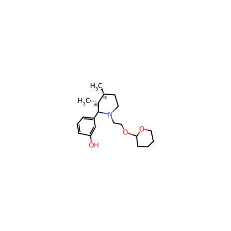 C[C@H]1CCN(CCOC2CCCCO2)C(c2cccc(O)c2)[C@@H]1C